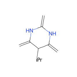 C=C1NC(=C)C(C(C)C)C(=C)N1